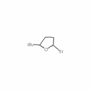 CCC1CCC(C(C)(C)C)O1